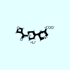 O=C([O-])c1cncc(C2=CCN(C(=O)C3COC3)CC2)c1.[Li+]